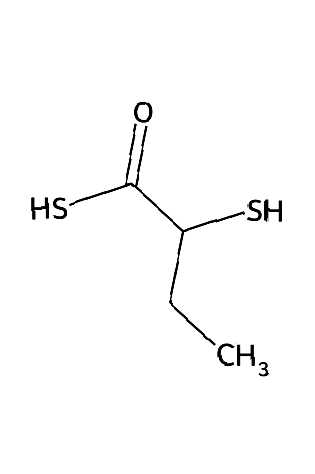 CCC(S)C(=O)S